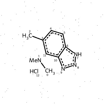 CNC.Cc1ccc2[nH]nnc2c1.Cl